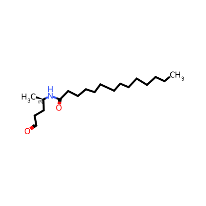 CCCCCCCCCCCCCC(=O)N[C@H](C)CCC=O